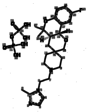 Cc1nccn1CCN1CCC2(CC1)CO[C@H]1c3cc(F)ccc3OC(C)(C)[C@@H]1C2.O=P(O)(O)OP(=O)(O)O